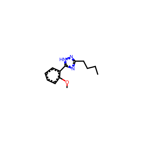 CCCCc1n[nH]c(-c2ccccc2OC)n1